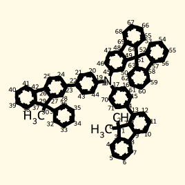 CC1(C)c2ccccc2-c2cccc(-c3ccc(N(c4ccc(-c5ccc6c(c5)C(C)(c5ccccc5)c5ccccc5-6)cc4)c4ccc5c(c4)C4(c6ccccc6-c6ccccc64)c4ccccc4-5)cc3)c21